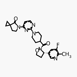 Cc1ncc([C@@H]2CCON2C(=O)C2CCN(c3nccc(N4CCC5(CC5)C4=O)n3)CC2)cc1F